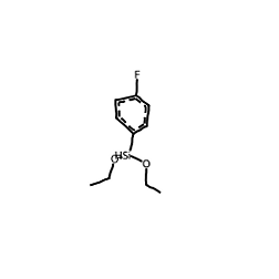 CCO[SiH](OCC)c1ccc(F)cc1